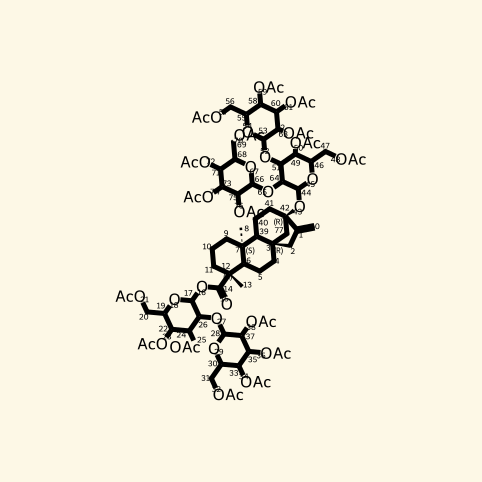 C=C1C[C@@]23CCC4[C@@](C)(CCC[C@@]4(C)C(=O)OC4OC(COC(C)=O)C(OC(C)=O)C(OC(C)=O)C4OC4OC(COC(C)=O)C(OC(C)=O)C(OC(C)=O)C4OC(C)=O)C2CC[C@@]1(OC1OC(COC(C)=O)C(OC(C)=O)C(OC2OC(COC(C)=O)C(OC(C)=O)C(OC(C)=O)C2OC(C)=O)C1OC1OC(COC(C)=O)C(OC(C)=O)C(OC(C)=O)C1OC(C)=O)C3